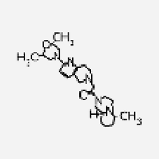 CC1CN(c2ccc3c(n2)CCN(CC(=O)N2CCN4C(C)CCC[C@H]4C2)C3)CC(C)O1